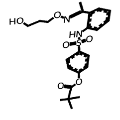 CC(=NOCCCO)c1ccccc1NS(=O)(=O)c1ccc(OC(=O)C(C)(C)C)cc1